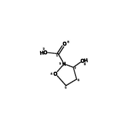 O=C(O)N1OCCC1O